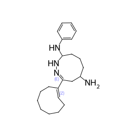 NC1CCCC(Nc2ccccc2)N/N=C(/C2=C\CCCCCCC2)C1